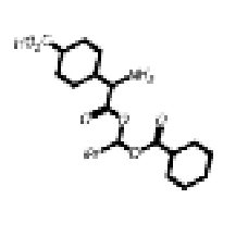 CC(C)C(OC(=O)C1CCCCC1)OC(=O)C(N)C1CCC(C(=O)O)CC1